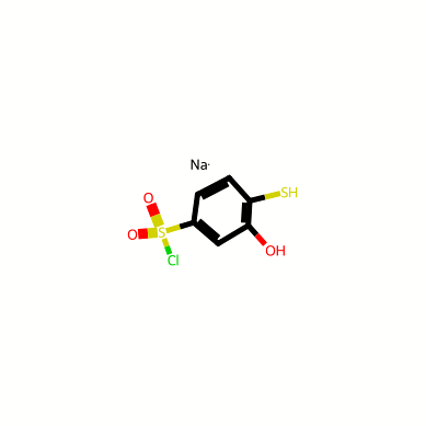 O=S(=O)(Cl)c1ccc(S)c(O)c1.[Na]